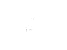 CCCCC[N+](C)(CC)CCC(O)(C(=O)O)P(=O)(O)O.[I-]